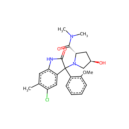 COc1ccccc1C1(N2C[C@H](O)C[C@H]2C(=O)N(C)C)C(=O)Nc2cc(C)c(Cl)cc21